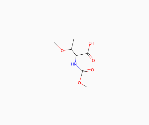 COC(=O)NC(C(=O)O)C(C)OC